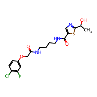 CC(O)c1ncc(C(=O)NCCCCNC(=O)COc2ccc(Cl)c(F)c2)s1